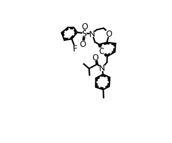 Cc1ccc(N(Cc2ccc3c(c2)CN(S(=O)(=O)c2ccccc2F)CCO3)C(=O)C(C)C)cc1